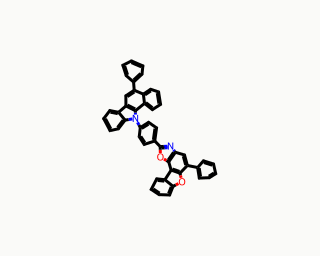 c1ccc(-c2cc3c4ccccc4n(-c4ccc(-c5nc6cc(-c7ccccc7)c7oc8ccccc8c7c6o5)cc4)c3c3ccccc23)cc1